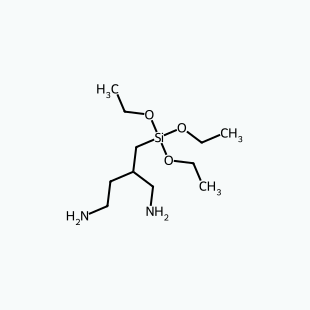 CCO[Si](CC(CN)CCN)(OCC)OCC